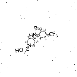 O=C(O)N1CCC(Nc2ccc(C(F)(F)F)cc2Br)CC1